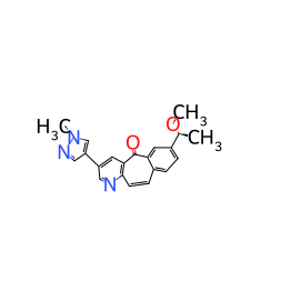 CO[C@@H](C)c1ccc2ccc3ncc(-c4cnn(C)c4)cc3c(=O)c2c1